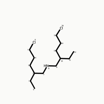 CCC(CCCCl)CNCC(CC)CCCCl